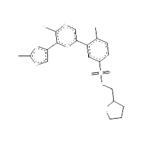 Cc1ncc(-c2nc(-c3cc(S(=O)(=O)NCC4CCCO4)ccc3C)cnc2N)s1